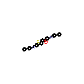 C(=C\c1ccc2c(c1)oc1c2ccc2c1ccc1c3ccc(/C=C/c4ccc(-c5ccccc5)cc4)cc3sc12)/c1ccc(-c2ccccc2)cc1